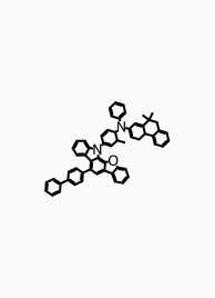 CC1C=C(n2c3ccccc3c3c(-c4ccc(-c5ccccc5)cc4)cc4c5ccccc5oc4c32)C=CC1N(C1=CCC2C(=C1)C(C)(C)Cc1ccccc12)c1ccccc1